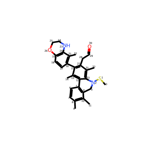 CSN1Cc2c(ccc(C)c2C)-c2c(C)c(-c3ccc4c(c3C)NCCO4)c(CC=O)c(C)c21